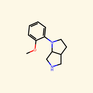 COc1ccccc1N1CCC2CNCC21